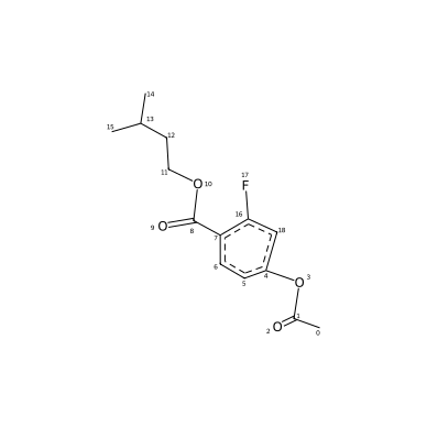 CC(=O)Oc1ccc(C(=O)OCCC(C)C)c(F)c1